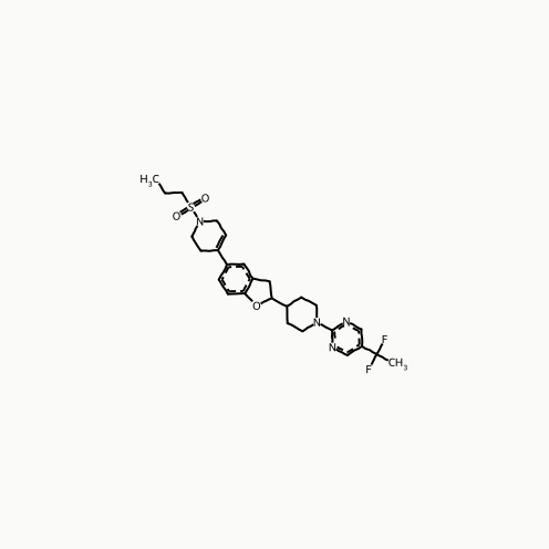 CCCS(=O)(=O)N1CC=C(c2ccc3c(c2)CC(C2CCN(c4ncc(C(C)(F)F)cn4)CC2)O3)CC1